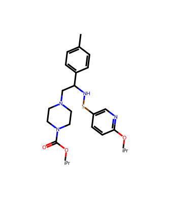 Cc1ccc(C(CN2CCN(C(=O)OC(C)C)CC2)NSc2ccc(OC(C)C)nc2)cc1